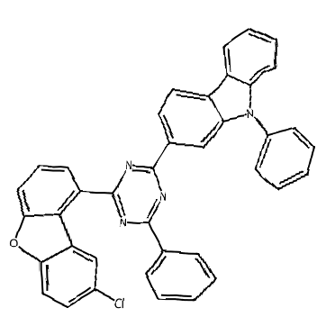 Clc1ccc2oc3cccc(-c4nc(-c5ccccc5)nc(-c5ccc6c7ccccc7n(-c7ccccc7)c6c5)n4)c3c2c1